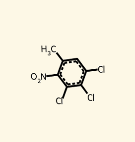 Cc1cc(Cl)c(Cl)c(Cl)c1[N+](=O)[O-]